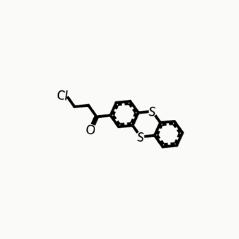 O=C(CCCl)c1ccc2c(c1)Sc1ccccc1S2